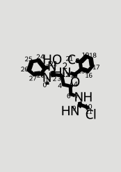 Cn1c(C(CCCNC(=N)CCl)NC(=O)c2ccccc2C(=O)O)nc2ccccc21